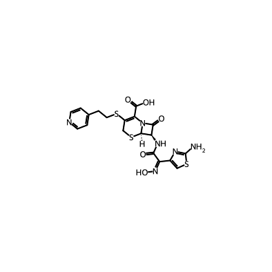 Nc1nc(/C(=N/O)C(=O)N[C@@H]2C(=O)N3C(C(=O)O)=C(SCCc4ccncc4)CS[C@H]23)cs1